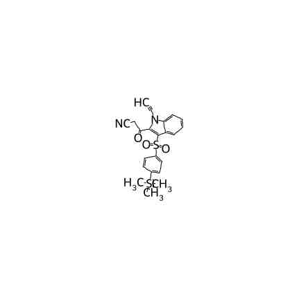 C#Cn1c(C(=O)CC#N)c(S(=O)(=O)c2ccc([Si](C)(C)C)cc2)c2ccccc21